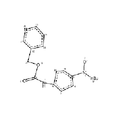 CCCC[S+]([O-])c1ccc(NC(=O)OCc2cccnc2)cc1